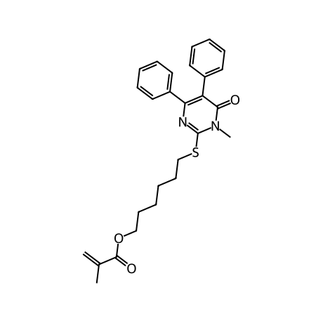 C=C(C)C(=O)OCCCCCCSc1nc(-c2ccccc2)c(-c2ccccc2)c(=O)n1C